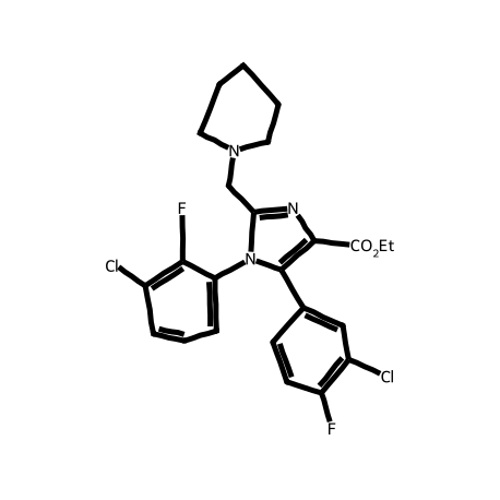 CCOC(=O)c1nc(CN2CCCCC2)n(-c2cccc(Cl)c2F)c1-c1ccc(F)c(Cl)c1